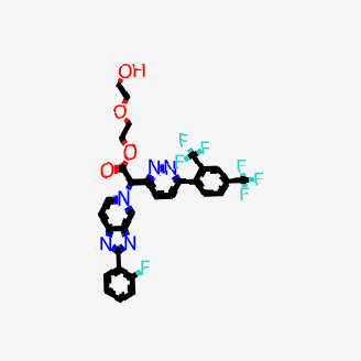 O=C(OCCOCCO)C(c1ccc(-c2ccc(C(F)(F)F)cc2C(F)(F)F)nn1)n1ccc2nc(-c3ccccc3F)nc-2c1